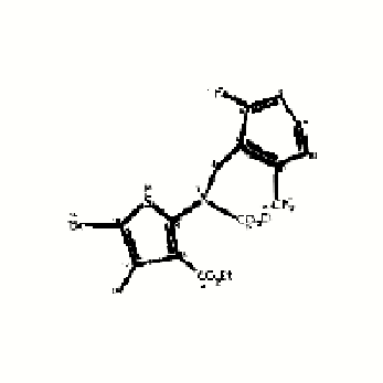 CCOC(=O)c1c(N(Cc2c(F)cccc2C(F)(F)F)C(=O)OCC)sc(Br)c1C